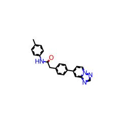 Cc1ccc(NC(=O)Cc2ccc(-c3ccn4ncnc4c3)cc2)cc1